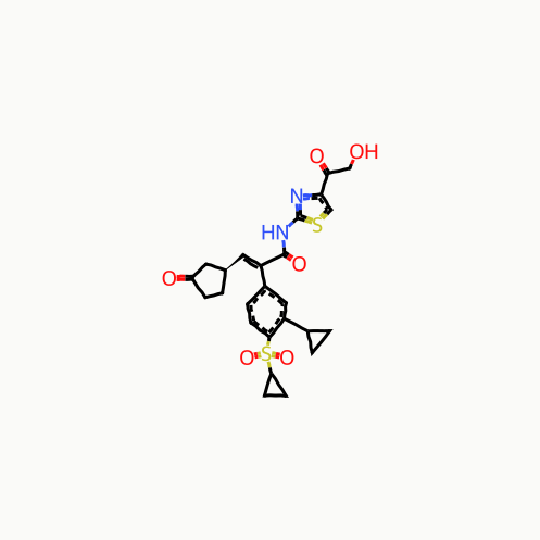 O=C1CC[C@H](/C=C(/C(=O)Nc2nc(C(=O)CO)cs2)c2ccc(S(=O)(=O)C3CC3)c(C3CC3)c2)C1